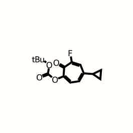 CC(C)(C)OC(=O)Oc1ccc(C2CC2)cc(F)c1=O